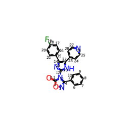 O=c1onc(-c2ccccc2)n1-c1nc(-c2ccc(F)cc2)c(-c2ccncc2)[nH]1